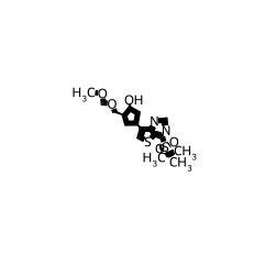 COCOC[C@@H]1C[C@H](c2csc3c(S(=O)(=O)C(C)(C)C)ncnc23)C[C@@H]1O